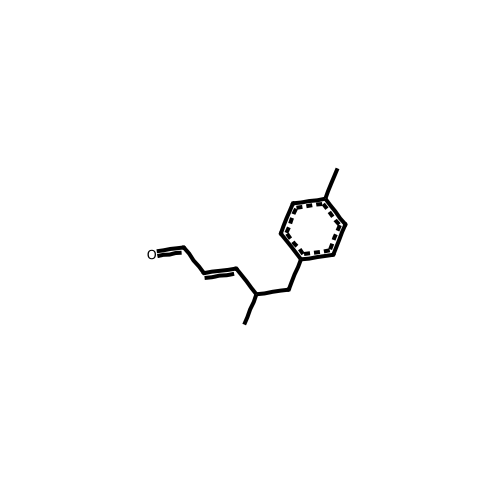 Cc1ccc(CC(C)C=CC=O)cc1